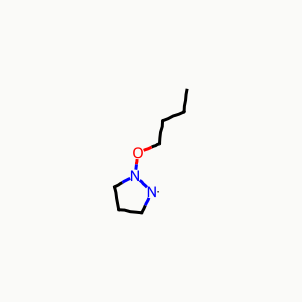 CCCCON1CCC[N]1